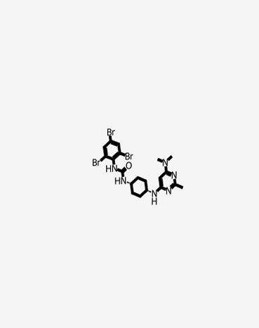 Cc1nc(N[C@H]2CC[C@@H](NC(=O)Nc3c(Br)cc(Br)cc3Br)CC2)cc(N(C)C)n1